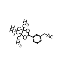 CC(=O)Cc1cccc(C2OC(C)(C)C(C)(C)O2)c1